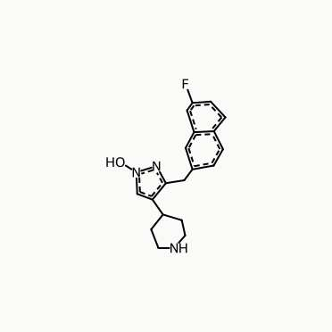 On1cc(C2CCNCC2)c(Cc2ccc3ccc(F)cc3c2)n1